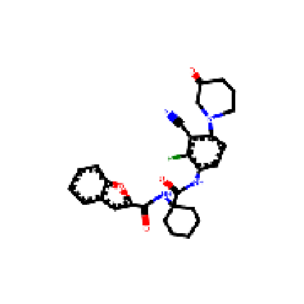 N#Cc1c(N2CCCC(=O)C2)ccc(NC(=O)C2(NC(=O)c3cc4ccccc4o3)CCCCC2)c1F